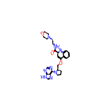 O=C(NCCN1CCOCC1)c1cc(OCC2CCCN2c2ncnc3[nH]cnc23)c2ccccc2n1